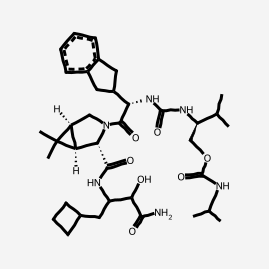 CC(C)NC(=O)OC[C@@H](NC(=O)N[C@H](C(=O)N1C[C@H]2[C@@H]([C@H]1C(=O)NC(CC1CCC1)C(O)C(N)=O)C2(C)C)C1Cc2ccccc2C1)C(C)C